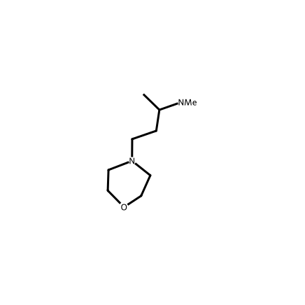 CNC(C)CCN1CCOCC1